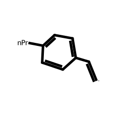 [CH]=Cc1ccc(CCC)cc1